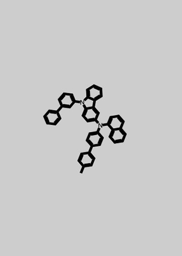 Cc1ccc(-c2ccc(N(c3ccc4c(c3)c3ccccc3n4-c3cccc(-c4ccccc4)c3)c3cccc4ccccc34)cc2)cc1